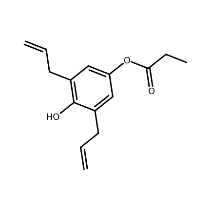 C=CCc1cc(OC(=O)CC)cc(CC=C)c1O